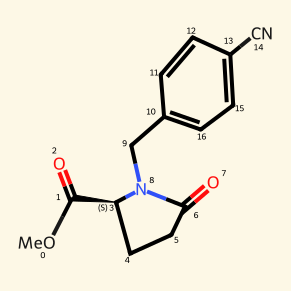 COC(=O)[C@@H]1CCC(=O)N1Cc1ccc(C#N)cc1